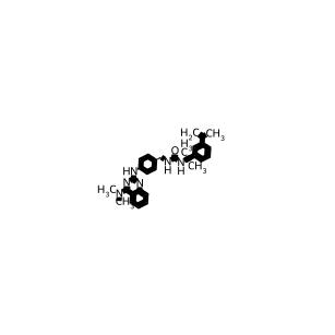 C=C(C)c1cccc(C(C)(C)NC(=O)NC[C@H]2CC[C@@H](Nc3nc(N(C)C)c4ccccc4n3)CC2)c1